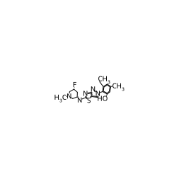 CCc1cc(C)cc(O)c1-n1cc2sc(/N=C3\C[C@@H](F)CN(C)C3)nc2n1